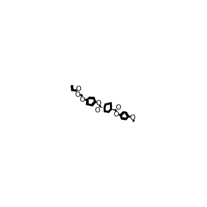 C=CC(=O)OCOc1ccc(OC(=O)[C@H]2CC[C@H](C(=O)Oc3ccc(OC)cc3)CC2)cc1